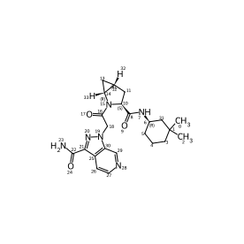 CC1(C)CCC[C@@H](NC(=O)[C@@H]2C[C@H]3C[C@H]3N2C(=O)Cn2nc(C(N)=O)c3ccncc32)C1